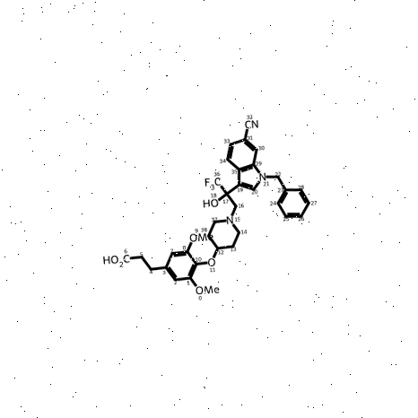 COc1cc(CCC(=O)O)cc(OC)c1OC1CCN(CC(O)(c2cn(Cc3ccccc3)c3cc(C#N)ccc23)C(F)(F)F)CC1